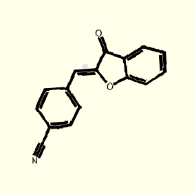 N#Cc1ccc(/C=C2\Oc3ccccc3C2=O)cc1